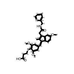 COc1ccc2c(c1)C(CC(=O)NCc1ccccn1)=C(C)C2=Cc1cc(OC)c(SCCC(=O)O)c(OC)c1